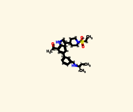 CC[C@H](C)NCc1cccc(-c2cc(C(C)=O)c3[nH]cc(C4CCN(S(=O)(=O)CC)CC4)c3c2)c1